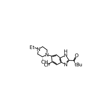 CCN1CCN(c2cc3[nH]c(C(=O)C(C)(C)C)nc3cc2Cl)[C@H](C)C1